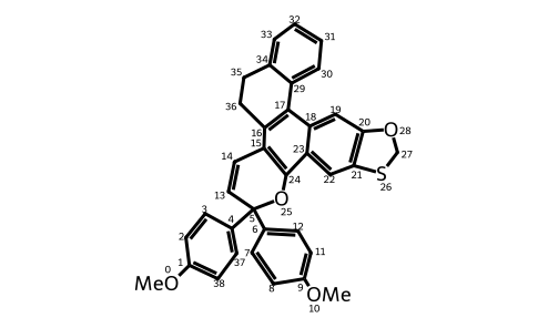 COc1ccc(C2(c3ccc(OC)cc3)C=Cc3c4c(c5cc6c(cc5c3O2)SCO6)-c2ccccc2CC4)cc1